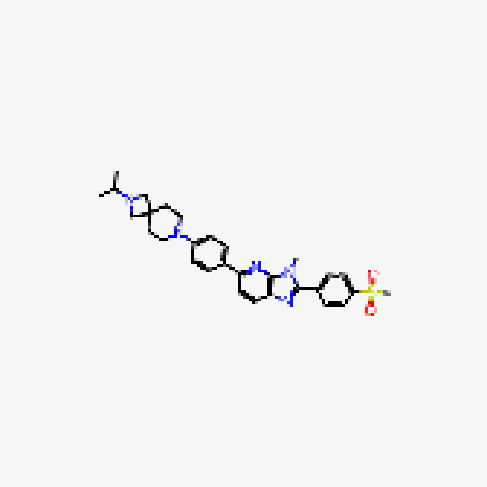 CC(C)N1CC2(CCN(c3ccc(-c4ccc5nc(-c6ccc(S(C)(=O)=O)cc6)n(C)c5n4)cc3)CC2)C1